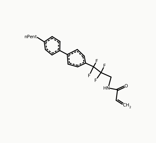 C=CC(=O)NCC(F)(F)C(F)(F)c1ccc(-c2ccc(CCCCC)cc2)cc1